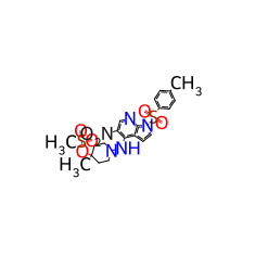 Cc1ccc(S(=O)(=O)n2ccc3c(NN4CCC(C)(OS(C)(=O)=O)CC4)c([N+](=O)[O-])cnc32)cc1